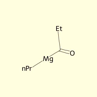 CC[CH2][Mg][C](=O)CC